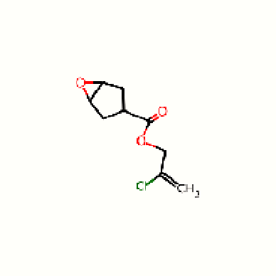 C=C(Cl)COC(=O)C1CC2OC2C1